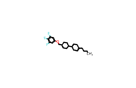 CCCCC1CCC(C2CCC(COc3cc(F)c(F)c(F)c3)CC2)CC1